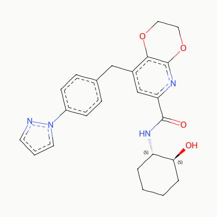 O=C(N[C@H]1CCCC[C@@H]1O)c1cc(Cc2ccc(-n3cccn3)cc2)c2c(n1)OCCO2